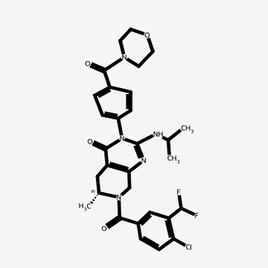 CC(C)Nc1nc2c(c(=O)n1-c1ccc(C(=O)N3CCOCC3)cc1)C[C@@H](C)N(C(=O)c1ccc(Cl)c(C(F)F)c1)C2